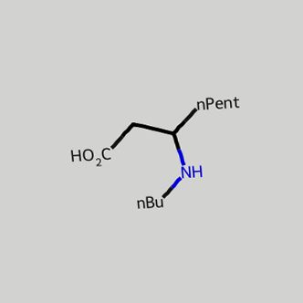 CCCCCC(CC(=O)O)NCCCC